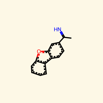 CC(=N)c1ccc2c(c1)oc1ccccc12